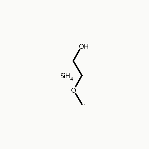 [CH2]OCCO.[SiH4]